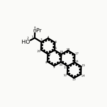 CCCC(O)c1ccc2c(ccc3c4ccccc4ccc23)c1